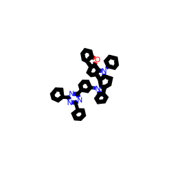 c1ccc(-c2nc(-c3ccccc3)nc(-c3cccc(-n4c5ccccc5c5ccc6c(c7ccc8c9ccccc9oc8c7n6-c6ccccc6)c54)c3)n2)cc1